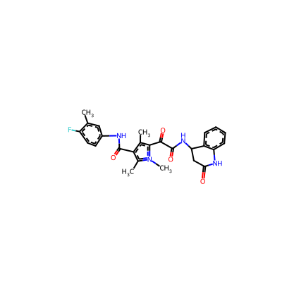 Cc1cc(NC(=O)c2c(C)c(C(=O)C(=O)NC3CC(=O)Nc4ccccc43)n(C)c2C)ccc1F